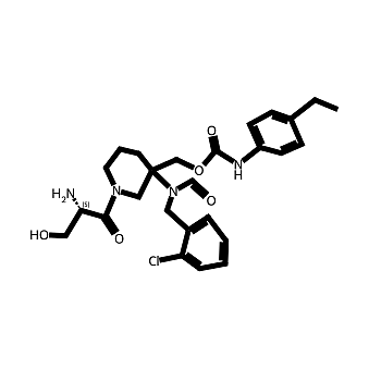 CCc1ccc(NC(=O)OCC2(N(C=O)Cc3ccccc3Cl)CCCN(C(=O)[C@@H](N)CO)C2)cc1